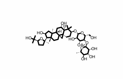 CC(=O)O[C@@H]1[C@@H](O)[C@H](O[C@H]2CC[C@]34C[C@]35CC[C@]3(C)[C@@H]([C@@]6(C)CC[C@@H](C(C)(C)O)O6)[C@@H](O)C[C@@]3(C)[C@@H]5C[C@H](O)[C@H]4C2(C)C)O[C@H](CO)[C@H]1O[C@@H]1O[C@@H](C)[C@H](O)[C@@H](O)[C@H]1O